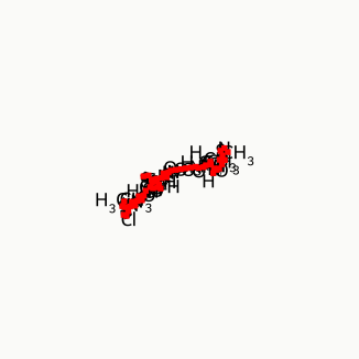 Cc1ncsc1-c1ccc(CNC(=O)[C@@H]2CCCN2C(=O)[C@@H](NC(=O)CCC(=O)NCCOCCOCCNC(=O)N2CCN(CC[C@H](CSc3ccccc3)Nc3ccc(S(=O)(=O)NC(=O)c4ccc(N5CCN(CC6=C(c7ccc(Cl)cc7)CCC(C)(C)C6)CC5)cc4)cc3S(=O)(=O)C(F)(F)F)CC2)C(C)(C)C)cc1